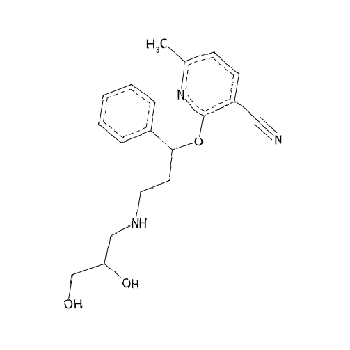 Cc1ccc(C#N)c(OC(CCNCC(O)CO)c2ccccc2)n1